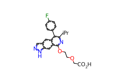 CC(C)c1nc(OCCOCC(=O)O)c2cc3[nH]ncc3cc2c1-c1ccc(F)cc1